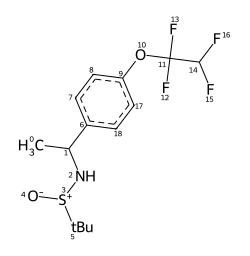 CC(N[S+]([O-])C(C)(C)C)c1ccc(OC(F)(F)C(F)F)cc1